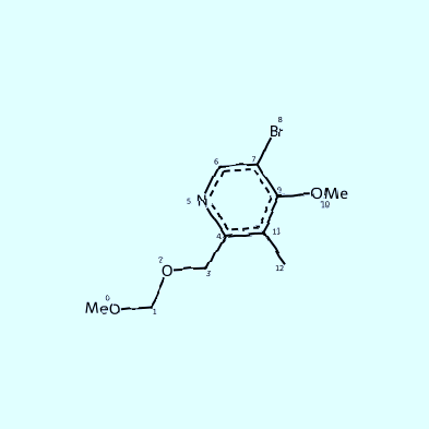 COCOCc1ncc(Br)c(OC)c1C